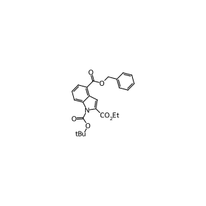 CCOC(=O)c1cc2c(C(=O)OCc3ccccc3)cccc2n1C(=O)OC(C)(C)C